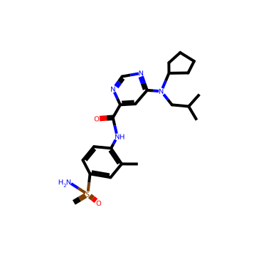 C=S(N)(=O)c1ccc(NC(=O)c2cc(N(CC(C)C)C3CCCC3)ncn2)c(C)c1